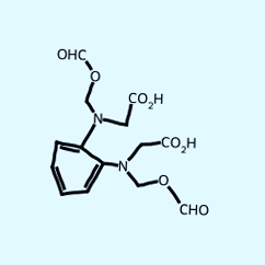 O=COCN(CC(=O)O)c1ccccc1N(COC=O)CC(=O)O